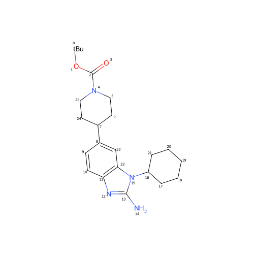 CC(C)(C)OC(=O)N1CCC(c2ccc3nc(N)n(C4CCCCC4)c3c2)CC1